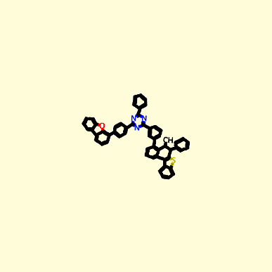 CC1c2c(-c3cccc(-c4nc(-c5ccccc5)nc(-c5ccc(-c6cccc7c6oc6ccccc67)cc5)n4)c3)cccc2-c2c(sc3ccccc23)C1c1ccccc1